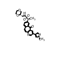 CN(c1ccc2ccc3ncc(-c4cnn(C)c4)cc3c(=O)c2c1)S(=O)(=O)NC[C@H]1COCCO1